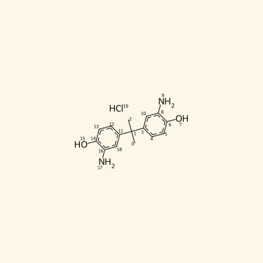 CC(C)(c1ccc(O)c(N)c1)c1ccc(O)c(N)c1.Cl